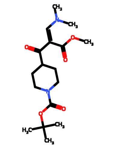 COC(=O)C(=CN(C)C)C(=O)C1CCN(C(=O)OC(C)(C)C)CC1